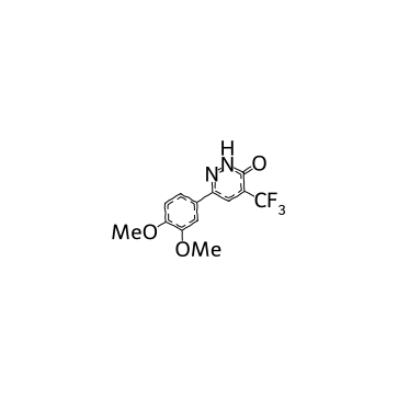 COc1ccc(-c2cc(C(F)(F)F)c(=O)[nH]n2)cc1OC